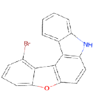 Brc1cccc2oc3ccc4[nH]c5ccccc5c4c3c12